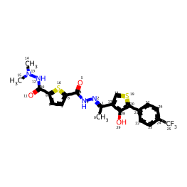 C/C(=N\NC(=O)c1ccc(C(=O)NN(C)C)s1)c1csc(-c2ccc(C(F)(F)F)cc2)c1O